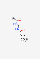 CC(C)C(=O)NCNC(=O)CC(C)C(=O)O